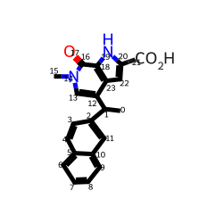 CC(c1ccc2ccccc2c1)c1cn(C)c(=O)c2[nH]c(C(=O)O)cc12